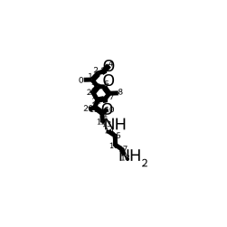 Cc1cc(=O)oc2c(C)c3oc(CNCCCCN)c(C)c3cc12